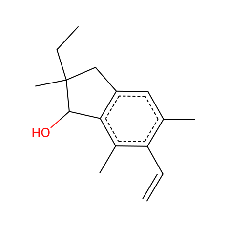 C=Cc1c(C)cc2c(c1C)C(O)C(C)(CC)C2